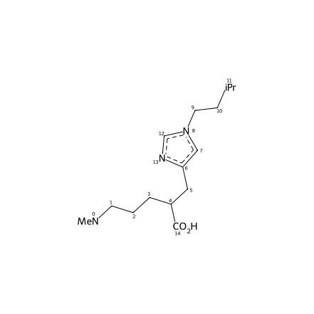 CNCCCC(Cc1cn(CCC(C)C)cn1)C(=O)O